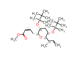 C=C[C@H](C)[C@@H]1O[C@H](C/C=C\C(=O)OC)[C@H](O[Si](C)(C)C(C)(C)C)C[C@@H]1O[Si](C)(C)C(C)(C)C